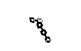 CC(c1ccc(-c2ccc(-c3cncnc3)cc2)cc1)N1CCCC1